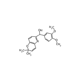 COc1ccc(C(O)c2ccc3c(n2)C=CC(C)(C)O3)cc1OC